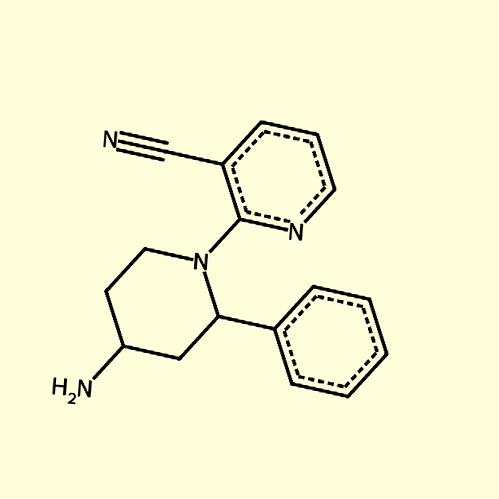 N#Cc1cccnc1N1CCC(N)CC1c1ccccc1